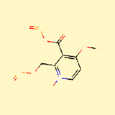 COc1cc[n+]([O-])c(CO[PH2]=O)c1C(=O)O[PH2]=O